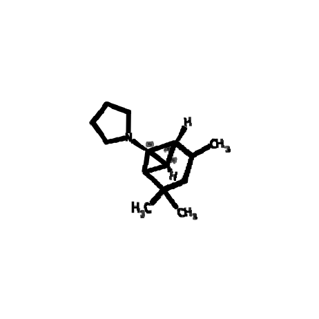 CC1CC(C)(C)C2[C@@H]3[C@@H]1[C@@]23N1CCCC1